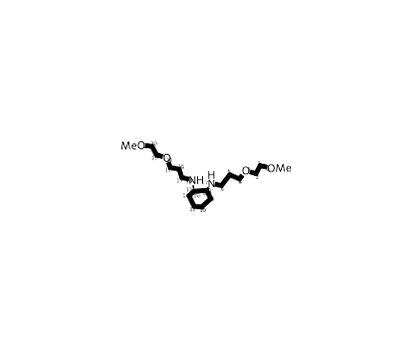 COCCOCCCN[C@H]1CCCC[C@@H]1NCCCOCCOC